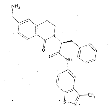 Cc1nsc2ccc(NC(=O)[C@H](Cc3ccccc3)N3CCc4cc(CN)ccc4C3=O)cc12